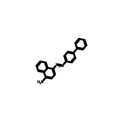 Nc1ccc(/N=N/c2ccc(-c3ccccc3)cc2)c2ccccc12